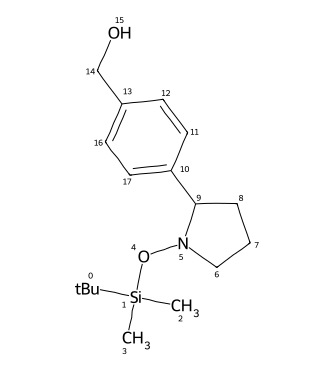 CC(C)(C)[Si](C)(C)ON1CCCC1c1ccc(CO)cc1